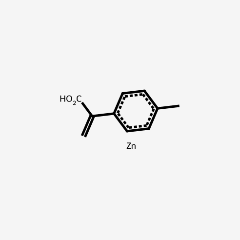 C=C(C(=O)O)c1ccc(C)cc1.[Zn]